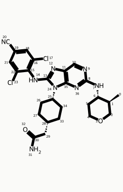 C[C@H]1COCC[C@@H]1Nc1ncc2nc(Nc3c(Cl)cc(C#N)cc3Cl)n([C@H]3CC[C@@H](CC(N)=O)CC3)c2n1